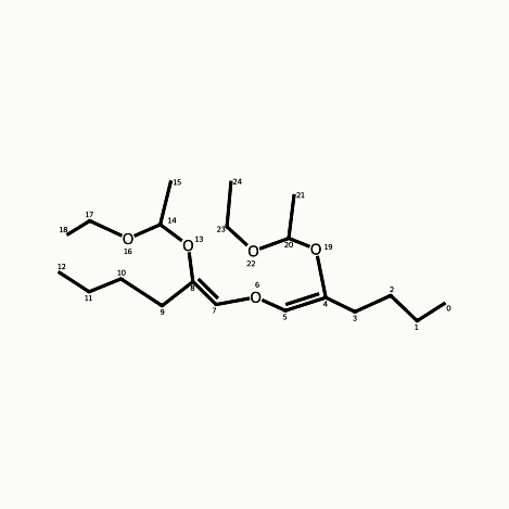 CCCCC(=COC=C(CCCC)OC(C)OCC)OC(C)OCC